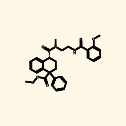 CCOC(=O)C1(c2ccccc2)CC[C@@H](C(=O)N(C)CCNC(=O)c2ccccc2OC)c2ccccc21